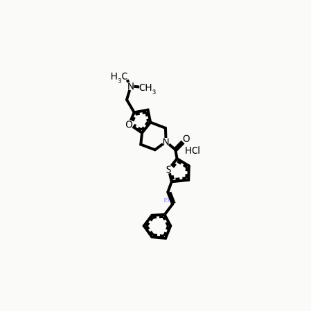 CN(C)Cc1cc2c(o1)CCN(C(=O)c1ccc(/C=C/c3ccccc3)s1)C2.Cl